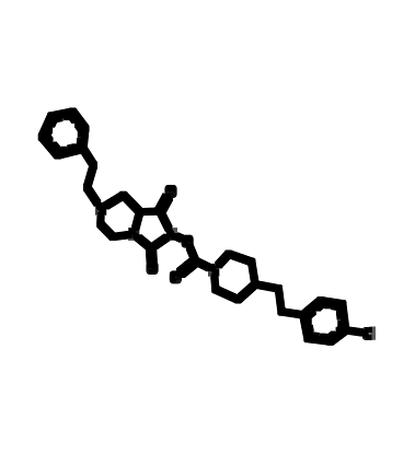 O=C(ON1C(=O)C2CN(CCc3ccccc3)CCN2C1=O)N1CCC(CCc2ccc(Cl)cc2)CC1